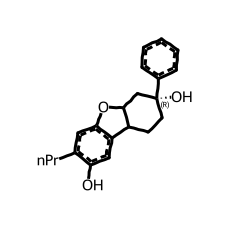 CCCc1cc2c(cc1O)C1CC[C@](O)(c3ccccc3)CC1O2